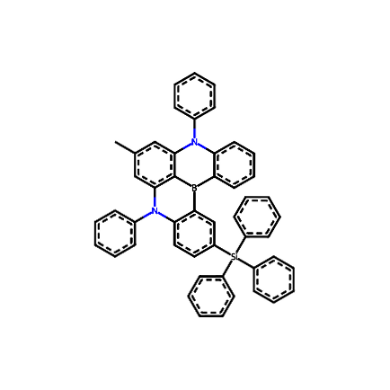 Cc1cc2c3c(c1)N(c1ccccc1)c1ccc([Si](c4ccccc4)(c4ccccc4)c4ccccc4)cc1B3c1ccccc1N2c1ccccc1